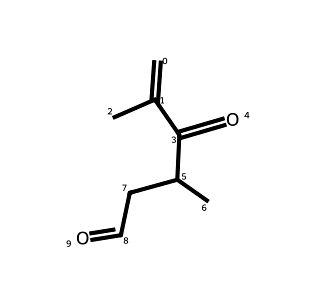 C=C(C)C(=O)C(C)CC=O